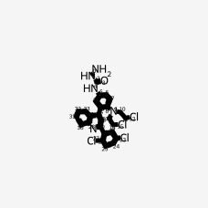 NNC(=O)Nc1ccc(N(CCCl)CCCl)c(-c2cc(-c3cc(Cl)ccc3Cl)nc3ccccc23)c1